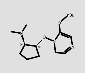 CCCCOC1=CN=CCN1O[C@@H]1CCC[C@H]1N(C)C